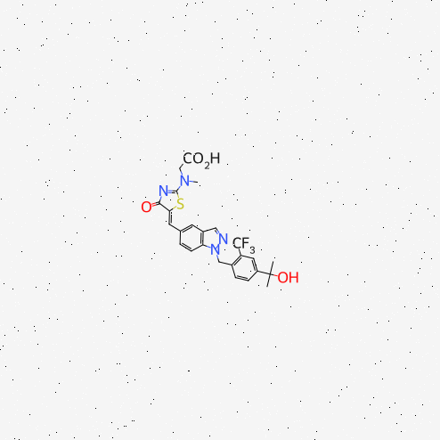 CN(CC(=O)O)C1=NC(=O)C(=Cc2ccc3c(cnn3Cc3ccc(C(C)(C)O)cc3C(F)(F)F)c2)S1